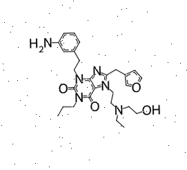 CCCn1c(=O)c2c(nc(Cc3ccoc3)n2CCN(CC)CCO)n(CCc2cccc(N)c2)c1=O